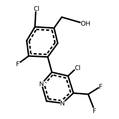 OCc1cc(-c2ncnc(C(F)F)c2Cl)c(F)cc1Cl